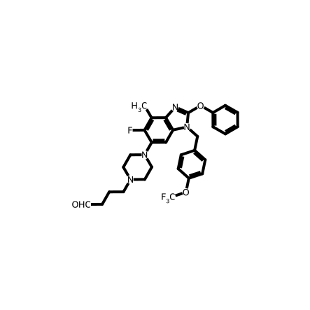 Cc1c(F)c(N2CCN(CCCC=O)CC2)cc2c1nc(Oc1ccccc1)n2Cc1ccc(OC(F)(F)F)cc1